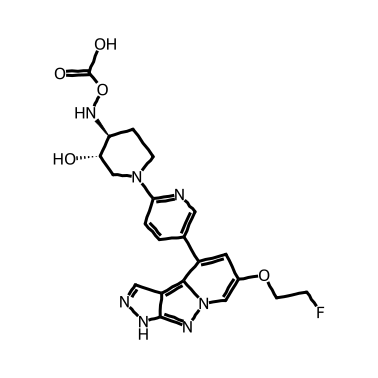 O=C(O)ON[C@H]1CCN(c2ccc(-c3cc(OCCF)cn4nc5[nH]ncc5c34)cn2)C[C@@H]1O